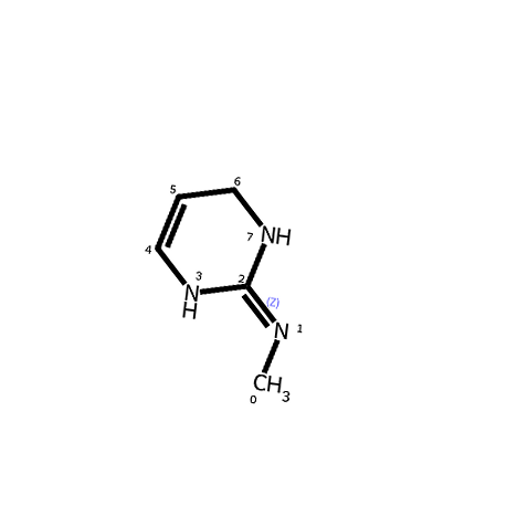 C/N=C1\NC=CCN1